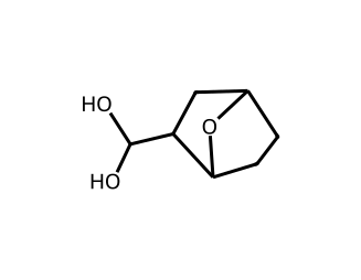 OC(O)C1CC2CCC1O2